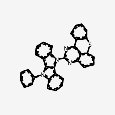 c1ccc(-n2c3ccccc3c3c2c2ccccc2n3-c2nc3c4c(cccc4n2)Sc2ccccc2-3)cc1